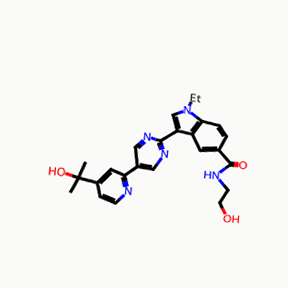 CCn1cc(-c2ncc(-c3cc(C(C)(C)O)ccn3)cn2)c2cc(C(=O)NCCO)ccc21